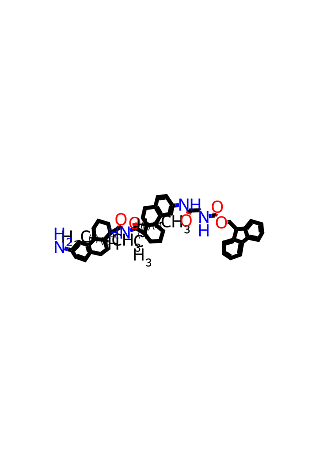 C[C@]1(C(=O)NC(=O)[C@@]2(C)CCC[C@]3(C)c4cc(NC(=O)CNC(=O)OCC5c6ccccc6-c6ccccc65)ccc4CC[C@@H]23)CCC[C@]2(C)c3cc(N)ccc3CC[C@@H]12